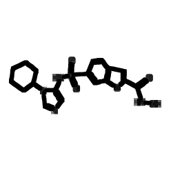 O=C(NO)c1cc2ccc(S(=O)(=O)Nc3cncn3C3CCCCC3)cc2o1